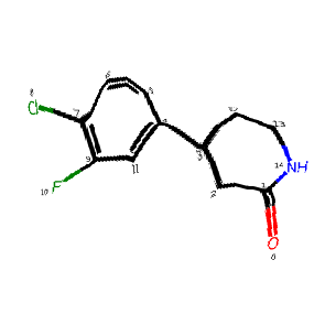 O=C1CC(c2ccc(Cl)c(F)c2)CCN1